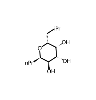 CCC[C@H]1O[C@H](CC(C)C)[C@H](O)[C@H](O)[C@H]1O